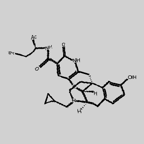 CC(=O)[C@H](CC(C)C)NC(=O)c1cc2c([nH]c1=O)C[C@]13CCN(CC4CC4)[C@H](Cc4ccc(O)cc41)[C@@H]3C2